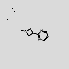 CN1CC(c2ncccn2)C1